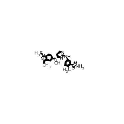 Cc1ccc(Nc2nccc(N(C)c3ccc4c(c3)c(C)nn4C)n2)cc1S(N)(=O)=O